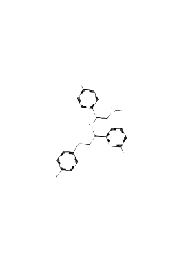 CNC(=O)C(NC(CCc1ccc(Cl)cc1)c1cccc(Cl)n1)c1ccc(F)cc1